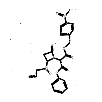 C=CC[S+]([O-])C1CC(=O)N1C(C(=O)OCc1ccc([N+](=O)[O-])cc1)C(=S)Oc1ccccc1